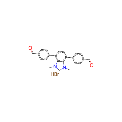 Br.CN1CN(C)c2c(-c3ccc(C=O)cc3)ccc(-c3ccc(C=O)cc3)c21